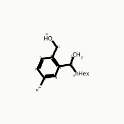 CCCCCCC(C)c1cc(F)ccc1CO